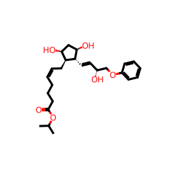 CC(C)OC(=O)CCC/C=C\C[C@@H]1[C@@H](/C=C/[C@@H](O)COc2ccccc2)[C@H](O)C[C@@H]1O